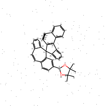 CC1(C)OB(c2ccc3c(c2)C2(c4ccccc4C=C3)c3ccccc3-c3c2c2ccccc2c2ccccc32)OC1(C)C